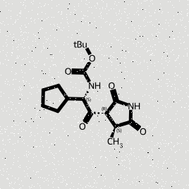 C[C@@H]1C(=O)NC(=O)[C@H]1C(=O)[C@@H](NC(=O)OC(C)(C)C)C1CCCC1